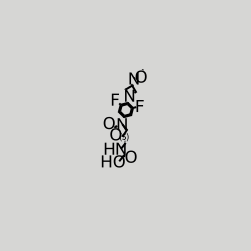 CON=C1CN(c2c(F)cc(N3C[C@H](CNC(=O)O)OC3=O)cc2F)C1